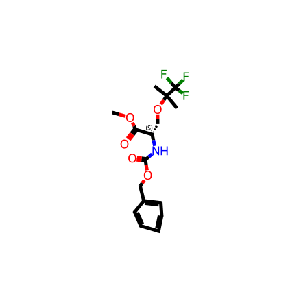 COC(=O)[C@H](COC(C)(C)C(F)(F)F)NC(=O)OCc1ccccc1